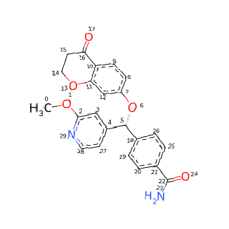 COc1cc([C@H](Oc2ccc3c(c2)OCCC3=O)c2ccc(C(N)=O)cc2)ccn1